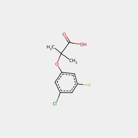 CC(C)(Oc1cc(F)cc(Cl)c1)C(=O)O